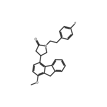 COc1ccc(C2CC(=O)N(CCc3ccc(F)cc3)C2)c2c1Cc1ccccc1-2